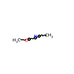 CCCCCCOc1ccc(CCc2ccc(-c3ccc(CCCCC)cc3)nc2)cc1